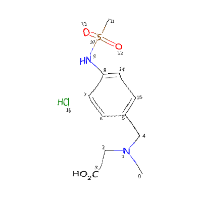 CN(CC(=O)O)Cc1ccc(NS(C)(=O)=O)cc1.Cl